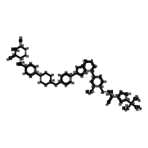 Cc1cc(-c2ncnn3cc(-c4ccc(CN5CCC(c6ccc(NC7CCC(=O)NC7=O)cc6)CC5)cc4)cc23)ccc1CNC(=O)c1coc(C(C)(C)C)n1